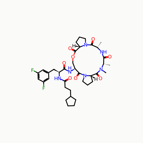 C[C@@H]1NC(=O)[C@H](C)N(C)C(=O)[C@@H]2CCCN2C(=O)[C@@H](NC(=O)[C@H](Cc2cc(F)cc(F)c2)NC(=O)CCC2CCCC2)COC(=O)[C@@H]2CCCN2C1=O